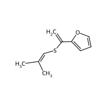 C=C(SC=C(C)C)c1ccco1